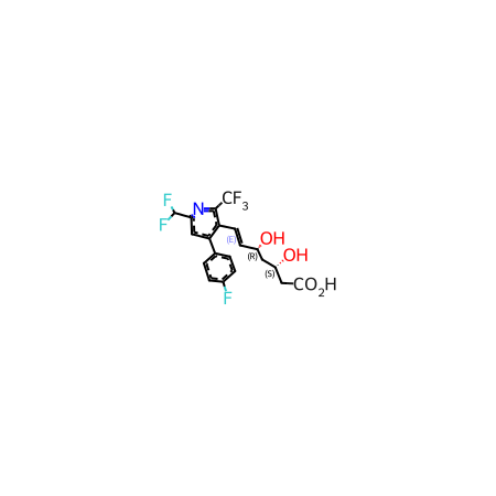 O=C(O)C[C@@H](O)C[C@@H](O)/C=C/c1c(-c2ccc(F)cc2)cc(C(F)F)nc1C(F)(F)F